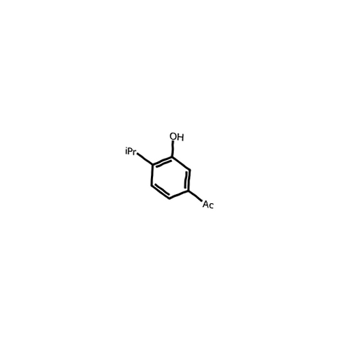 CC(=O)c1ccc(C(C)C)c(O)c1